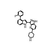 Fc1ccccc1-c1cccc2[nH]c(-c3n[nH]c4ccc(C5CCNCC5)nc34)cc12